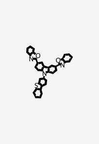 c1ccc2oc(-c3ccc4c(c3)c3cc(-c5nc6ccccc6o5)ccc3n4-c3ccc4c(c3)sc3ccccc34)nc2c1